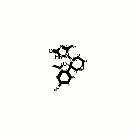 CCO[C@@]1(c2ccc(F)cc2)COCCN1n1[nH]c(=O)nc1C